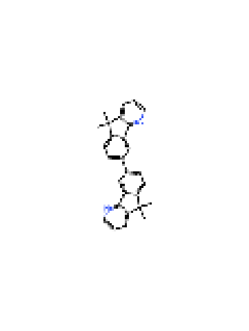 CC1(C)c2ccc(-c3ccc4c(c3)-c3ncccc3C4(C)C)cc2-c2ncccc21